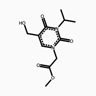 COC(=O)Cn1cc(CO)c(=O)n(C(C)C)c1=O